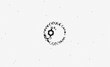 Nc1ccc(OC2CN3CCCCCCCCCCCCCCCCCCCCCC2CC3)cc1